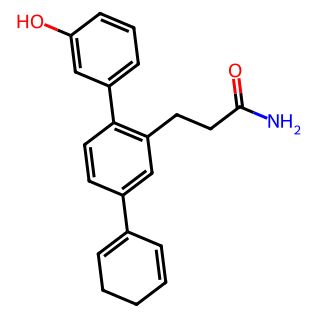 NC(=O)CCc1cc(C2=CCCC=C2)ccc1-c1cccc(O)c1